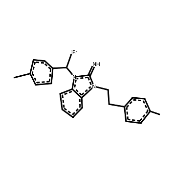 Cc1ccc(CCn2c(=N)n(C(c3ccc(C)cc3)C(C)C)c3ccccc32)cc1